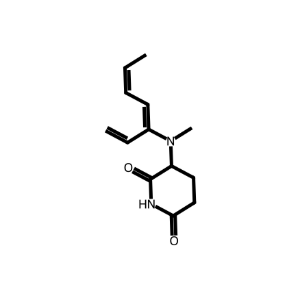 C=C/C(=C\C=C/C)N(C)C1CCC(=O)NC1=O